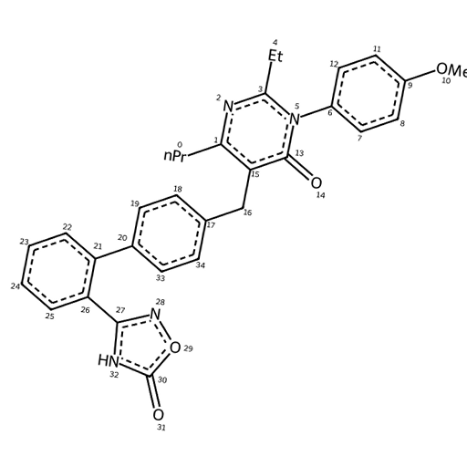 CCCc1nc(CC)n(-c2ccc(OC)cc2)c(=O)c1Cc1ccc(-c2ccccc2-c2noc(=O)[nH]2)cc1